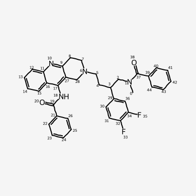 CN(CC(CCN1CCc2nc3ccccc3c(NC(=O)c3ccccc3)c2C1)c1ccc(F)c(F)c1)C(=O)c1ccccc1